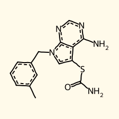 Cc1cccc(Cn2cc(SC(N)=O)c3c(N)ncnc32)c1